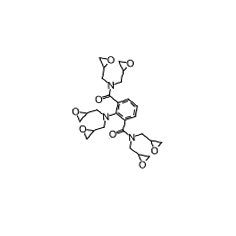 O=C(c1cccc(C(=O)N(CC2CO2)CC2CO2)c1N(CC1CO1)CC1CO1)N(CC1CO1)CC1CO1